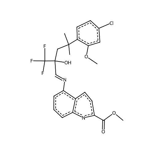 COC(=O)c1ccc2c(/N=C/C(O)(CC(C)(C)c3ccc(Cl)cc3OC)C(F)(F)F)cccc2n1